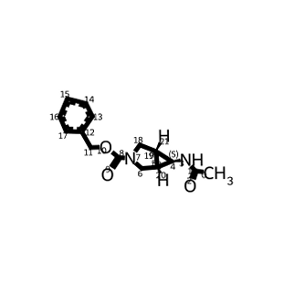 CC(=O)N[C@H]1[C@@H]2CN(C(=O)OCc3ccccc3)C[C@@H]21